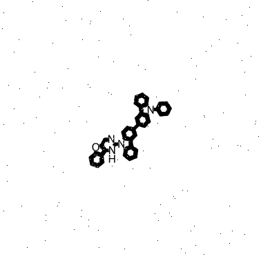 C1=NC(n2c3ccccc3c3cc(-c4ccc5c(c4)c4ccccc4n5-c4ccccc4)ccc32)Nc2c1oc1ccccc21